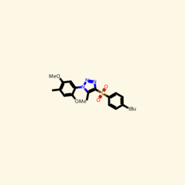 COc1cc(-n2nnc(S(=O)(=O)c3ccc(C(C)(C)C)cc3)c2C)c(OC)cc1C